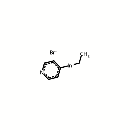 C[CH2][In+][c]1ccncc1.[Br-]